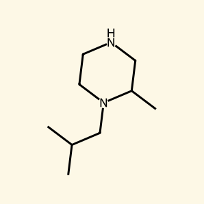 CC(C)CN1CCNCC1C